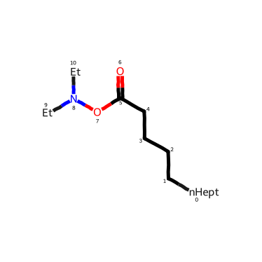 CCCCCCCCCCCC(=O)ON(CC)CC